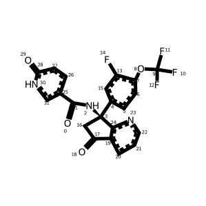 O=C(N[C@]1(c2ccc(OC(F)(F)F)c(F)c2)CC(=O)c2cccnc21)c1ccc(=O)[nH]c1